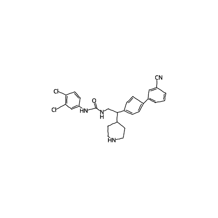 N#Cc1cccc(-c2ccc(C(CNC(=O)Nc3ccc(Cl)c(Cl)c3)C3CCNCC3)cc2)c1